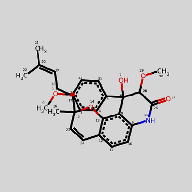 COc1ccc(C2(O)c3c(ccc4c3OC(C)(CCC=C(C)C)C=C4)NC(=O)C2OC)cc1